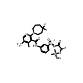 Cc1c(C(F)(F)F)cnc(N2CCCC(F)(F)CC2)c1C(=O)Nc1cccc([S@@](C)(=O)=NC(=O)[C@@H](C)O[Si](C)(C)C(C)(C)C)c1